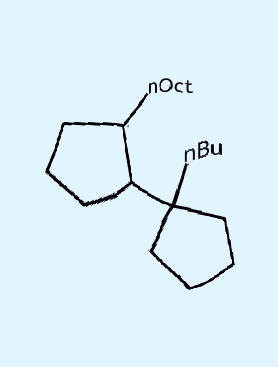 CCCCCCCC[C]1CCCC1C1(CCCC)CCCC1